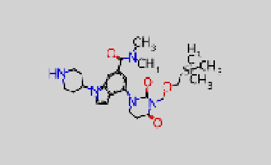 CN(C)C(=O)c1cc(N2CCC(=O)N(COCC[Si](C)(C)C)C2=O)c2ccn(C3CCNCC3)c2c1